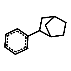 [c]1ccccc1C1CC2CCC1C2